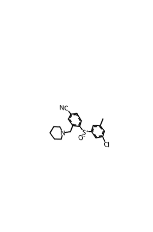 Cc1cc(Cl)cc([S+]([O-])c2ccc(C#N)cc2CN2CCCCC2)c1